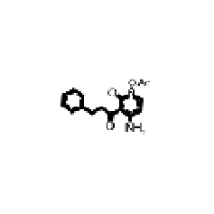 CC(=O)On1ccc(N)c(C(=O)CCc2ccccc2)c1=O